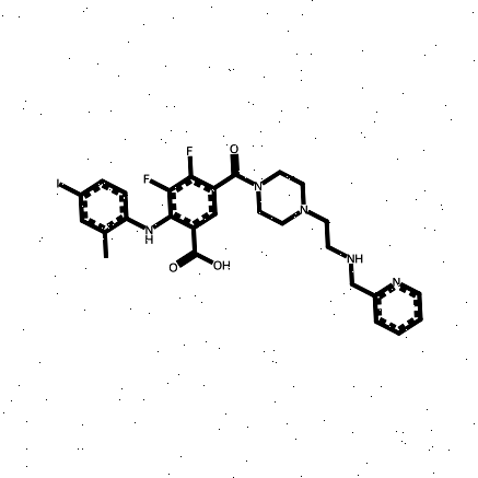 Cc1cc(I)ccc1Nc1c(C(=O)O)cc(C(=O)N2CCN(CCNCc3ccccn3)CC2)c(F)c1F